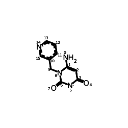 NC1=CC(=O)[N]C(=O)N1Cc1cccnc1